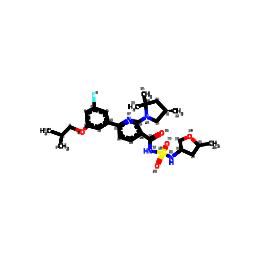 CC(C)COc1cc(F)cc(-c2ccc(C(=O)NS(=O)(=O)NC3COC(C)C3)c(N3C[C@@H](C)CC3(C)C)n2)c1